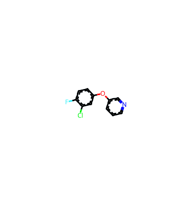 Fc1ccc(Oc2cccnc2)cc1Cl